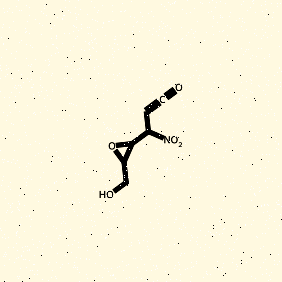 O=C=CC(C1OC1CO)[N+](=O)[O-]